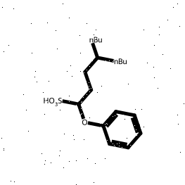 CCCCC(CCCC)CCC(Oc1ccccc1)S(=O)(=O)O